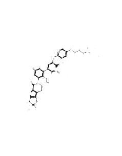 CN(C)CCCNc1ccc(Nc2cc(-c3cc(F)cc(N4CCc5c(sc6c5CC(C)(C)C6)C4=O)c3CO)cn(C)c2=O)nc1